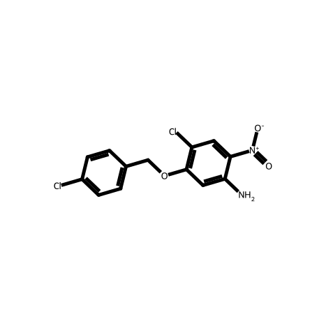 Nc1cc(OCc2ccc(Cl)cc2)c(Cl)cc1[N+](=O)[O-]